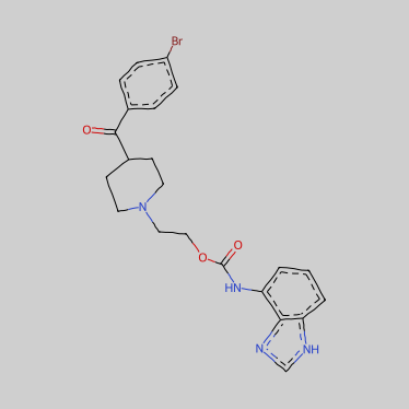 O=C(Nc1cccc2[nH]cnc12)OCCN1CCC(C(=O)c2ccc(Br)cc2)CC1